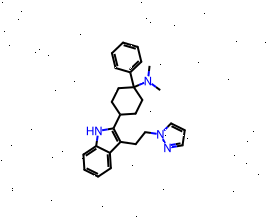 CN(C)C1(c2ccccc2)CCC(c2[nH]c3ccccc3c2CCn2cccn2)CC1